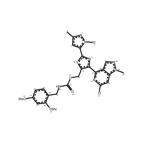 CCn1nc(C)cc1-c1nc(-c2nc(Cl)cc3c2cnn3C)c(COC(=O)NCc2ccc(OC)cc2OC)s1